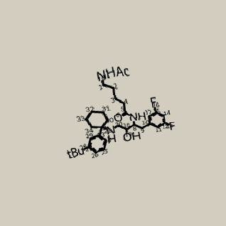 CC(=O)NCCCCC(=O)NC(Cc1cc(F)cc(F)c1)C(O)CNC1(c2cccc(C(C)(C)C)c2)CCCCC1